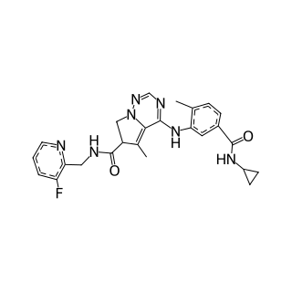 CC1=C2C(Nc3cc(C(=O)NC4CC4)ccc3C)=NC=NN2CC1C(=O)NCc1ncccc1F